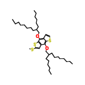 CCCCCCCCC(CCCCCC)COc1c2cc(SC)sc2c(OCC(CCCCCC)CCCCCCCC)c2ccsc12